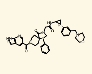 O=C(CN1CN(c2ccccc2)C2(CCN(C(=O)c3cnc4[nH]ncc4c3)CC2)C1=O)NC1C[C@@H]1c1cccc(CN2CCOCC2)c1